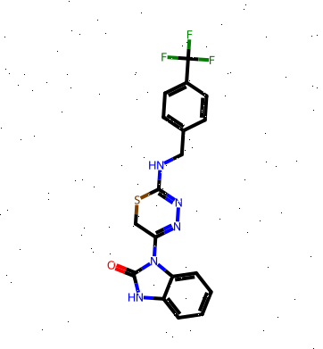 O=c1[nH]c2ccccc2n1C1=NN=C(NCc2ccc(C(F)(F)F)cc2)SC1